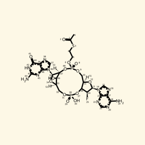 CC(=O)SCCOP1(=O)OC[C@H]2O[C@@H](n3cnc4c(N)ncnc43)[C@@H](F)C2OP(=O)(O)OC[C@H]2O[C@@H](n3cnc4c(=O)[nH]c(N)nc43)[C@@H](O1)C2O